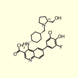 CC(=O)c1cnc2ccc(-c3cc(F)c(O)c(Cl)c3)cc2c1N[C@H]1CC[C@H](CN2CCC[C@H]2CO)CC1